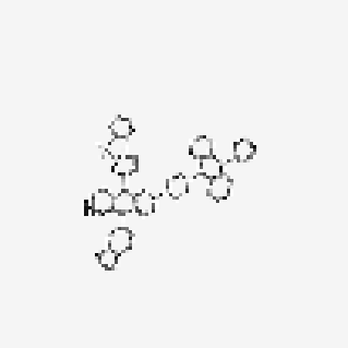 CC1(C)c2ccccc2-c2ccc(-c3c4ccncc4c(-c4ccc5ccccc5c4)c4ccc(-c5ccc(-c6c7ccccc7c(-c7ccccc7)c7ccccc67)cc5)cc34)cc21